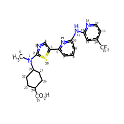 CN(c1ncc(-c2cccc(Nc3cc(C(F)(F)F)ccn3)n2)s1)C1CCC(C(=O)O)CC1